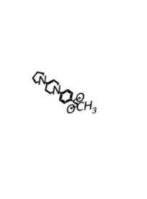 CS(=O)(=O)c1ccc(N2CC=C(N3CCCC3)CC2)cc1